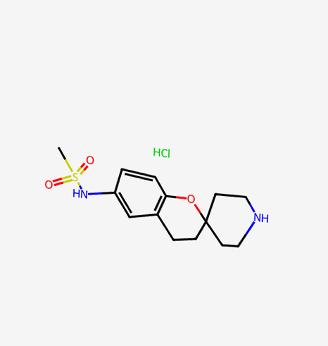 CS(=O)(=O)Nc1ccc2c(c1)CCC1(CCNCC1)O2.Cl